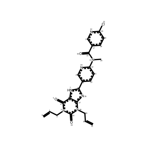 C=CCn1c(=O)c2[nH]c(-c3ccc(N(C)C(=O)c4ccc(Cl)nc4)nc3)nc2n(CC=C)c1=O